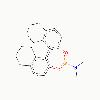 CN(C)p1oc2ccc3c(c2c2c4c(ccc2o1)CCCC4)CCCC3